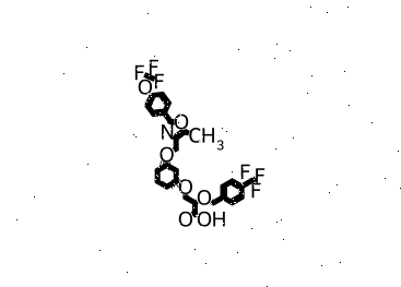 Cc1oc(-c2ccc(OC(F)(F)F)cc2)nc1CO[C@H]1CCC[C@@H](OCC(OCc2ccc(C(F)(F)F)cc2)C(=O)O)C1